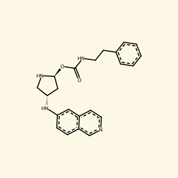 O=C(NCCc1ccccc1)O[C@H]1C[C@H](Nc2ccc3cnccc3c2)CN1